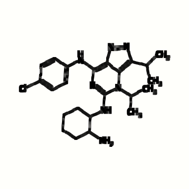 CC(C)c1nnc2c(Nc3ccc(Cl)cc3)nc(NC3CCCCC3N)n(C(C)C)c1-2